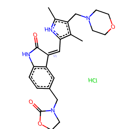 Cc1[nH]c(/C=C2\C(=O)Nc3ccc(CN4CCOC4=O)cc32)c(C)c1CN1CCOCC1.Cl